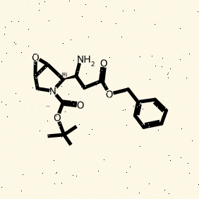 CC(C)(C)OC(=O)N1CC2OC2[C@H]1C(N)CC(=O)OCc1ccccc1